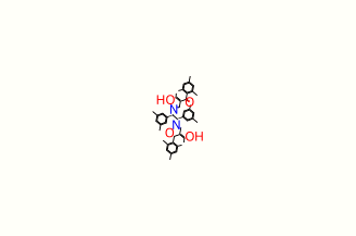 C/C(O)=C(/C=N/[C@H](c1cc(C)cc(C)c1)[C@H](/N=C/C(C(=O)c1c(C)cc(C)cc1C)=C(/C)O)c1cc(C)cc(C)c1)C(=O)c1c(C)cc(C)cc1C